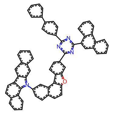 c1ccc(-c2ccc(-c3nc(-c4ccc5c(c4)oc4ccc6ccc(-n7c8cc9ccccc9cc8c8ccc9ccccc9c87)cc6c45)nc(-c4cc5ccccc5c5ccccc45)n3)cc2)cc1